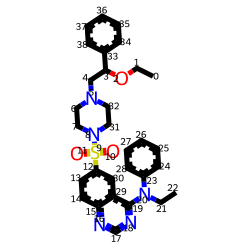 CCOC(CN1CCN(S(=O)(=O)c2ccc3ncnc(N(CC)c4ccccc4)c3c2)CC1)c1ccccc1